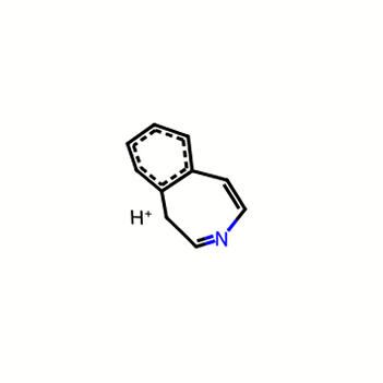 C1=Cc2ccccc2CC=N1.[H+]